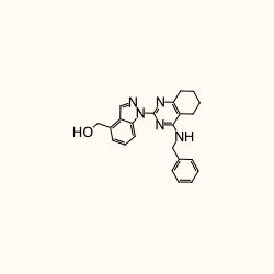 OCc1cccc2c1cnn2-c1nc2c(c(NCc3ccccc3)n1)CCCC2